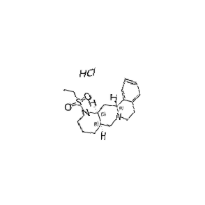 CCS(=O)(=O)N1CCC[C@@H]2CN3CCc4ccccc4[C@H]3C[C@@H]21.Cl